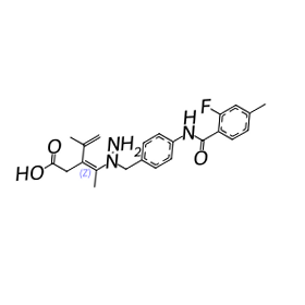 C=C(C)/C(CC(=O)O)=C(/C)N(N)Cc1ccc(NC(=O)c2ccc(C)cc2F)cc1